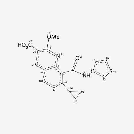 COc1nc2c(C(=O)Nc3ccsc3)c(C3CC3)ccc2cc1C(=O)O